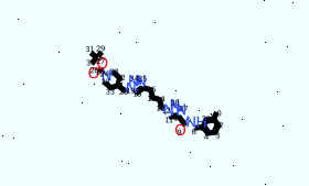 Cc1cccc(CNC(=O)c2cn(CCCCc3cn(CC4CCN(C(=O)OC(C)(C)C)CC4)nn3)nn2)c1